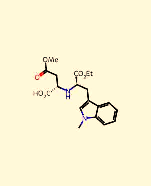 CCOC(=O)[C@@H](Cc1cn(C)c2ccccc12)N[C@@H](CC(=O)OC)C(=O)O